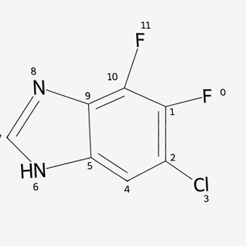 Fc1c(Cl)cc2[nH]cnc2c1F